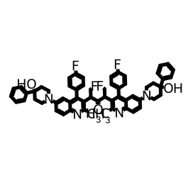 Cc1nc2ccc(N3CCC(O)(c4ccccc4)CC3)cc2c(-c2ccc(F)cc2)c1C(CF)C(=O)C(CF)c1c(C)nc2ccc(N3CCC(O)(c4ccccc4)CC3)cc2c1-c1ccc(F)cc1